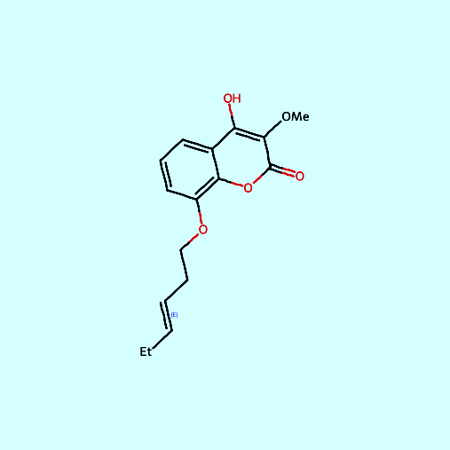 CC/C=C/CCOc1cccc2c(O)c(OC)c(=O)oc12